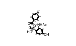 CC(=O)Nc1cc(O)ccc1[As](=O)(O)OC(=O)c1ccc(Cl)cc1